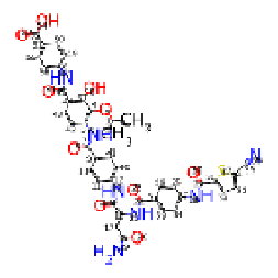 CC(C)Oc1c(NC(=O)c2ccc(NC(=O)C(CC(N)=O)NC(=O)c3ccc(NC(=O)c4ccc(C#N)s4)cc3)cc2)ccc(C(=O)Nc2ccc(C(=O)O)cc2)c1O